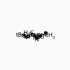 Cc1cc(Nc2ncnc3ccc(NC(=O)/C=C/C4CCCN4C)cc23)ccc1Oc1ccc2ccn(C(=O)OC(C)(C)C)c2c1